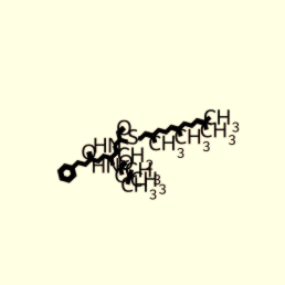 C=C(NC(C=O)CSC/C=C(\C)CC/C=C(\C)CCC=C(C)C)C(CCC(=O)CCc1ccccc1)NC(=O)OC(C)(C)C